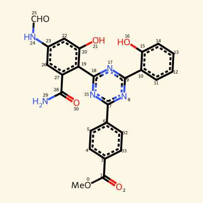 COC(=O)c1ccc(-c2nc(-c3ccccc3O)nc(-c3c(O)cc(NC=O)cc3C(N)=O)n2)cc1